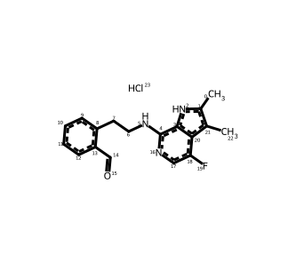 Cc1[nH]c2c(NCCc3ccccc3C=O)ncc(F)c2c1C.Cl